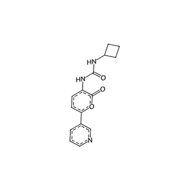 O=C(Nc1ccc(-c2cccnc2)oc1=O)NC1CCC1